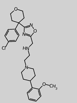 COc1ccccc1C1CCN(CCNCc2nc(C3(c4ccc(Cl)cc4)CCOCC3)no2)CC1